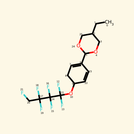 CCC1COC(C2=CCC(OC(F)(F)C(F)(F)C(F)(F)CF)C=C2)OC1